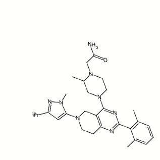 Cc1cccc(C)c1-c1nc2c(c(N3CCN(CC(N)=O)C(C)C3)n1)CN(c1cc(C(C)C)nn1C)CC2